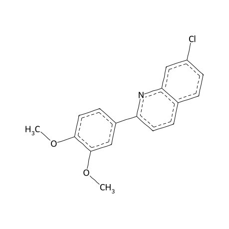 COc1ccc(-c2ccc3ccc(Cl)cc3n2)cc1OC